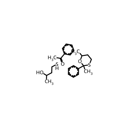 CC(=O)c1ccccc1.CC(O)CCS.CC1CCSC(C)(c2ccccc2)O1